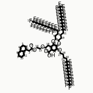 O=C(Cc1cccc2ccccc12)OCCOCCc1c(C(=O)O)cc(OCCCCC(F)(F)C(F)(F)C(F)(F)C(F)(F)C(F)(F)C(F)(F)C(F)(F)C(F)(F)F)c(OCCCCC(F)(F)C(F)(F)C(F)(F)C(F)(F)C(F)(F)C(F)(F)C(F)(F)C(F)(F)F)c1OCCCCC(F)(F)C(F)(F)C(F)(F)C(F)(F)C(F)(F)C(F)(F)C(F)(F)C(F)(F)F